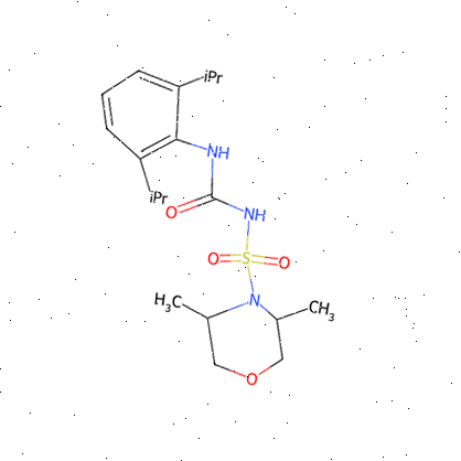 CC(C)c1cccc(C(C)C)c1NC(=O)NS(=O)(=O)N1C(C)COCC1C